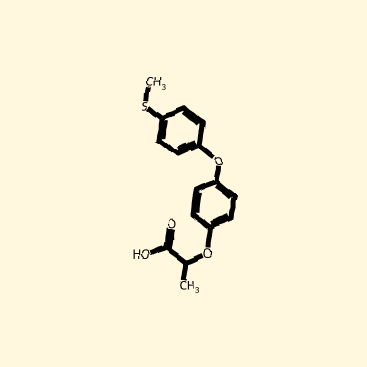 CSc1ccc(Oc2ccc(OC(C)C(=O)O)cc2)cc1